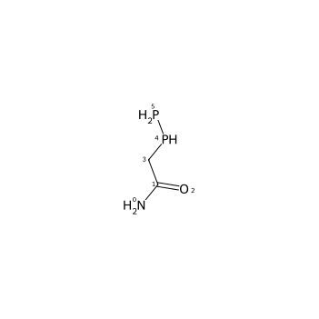 NC(=O)CPP